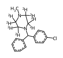 [2H]C1([2H])N(C)C([2H])([2H])C([2H])([2H])N(C(c2ccccc2)c2ccc(Cl)cc2)C1([2H])[2H]